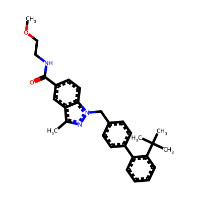 COCCNC(=O)c1ccc2c(c1)c(C)nn2Cc1ccc(-c2ccccc2C(C)(C)C)cc1